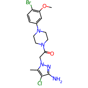 COc1cc(N2CCN(C(=O)Cn3nc(N)c(Cl)c3C)CC2)ccc1Br